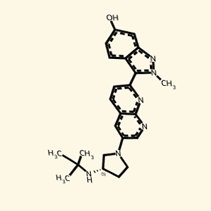 Cn1nc2cc(O)ccc2c1-c1ccc2cc(N3CC[C@H](NC(C)(C)C)C3)cnc2n1